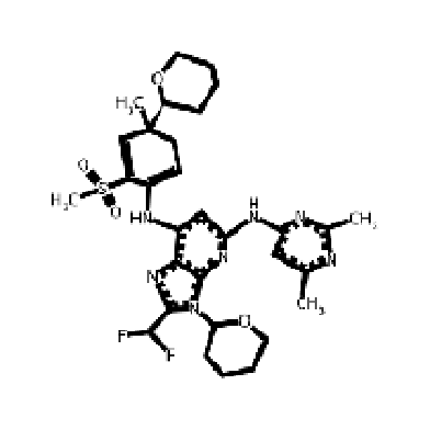 Cc1cc(Nc2cc(NC3=CCC(C)([C@@H]4CCCCO4)C=C3S(C)(=O)=O)c3nc(C(F)F)n(C4CCCCO4)c3n2)nc(C)n1